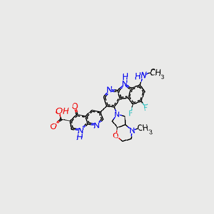 CNc1cc(F)c(F)c2c1[nH]c1ncc(-c3cnc4[nH]cc(C(=O)O)c(=O)c4c3)c(N3CC4OCCN(C)C4C3)c12